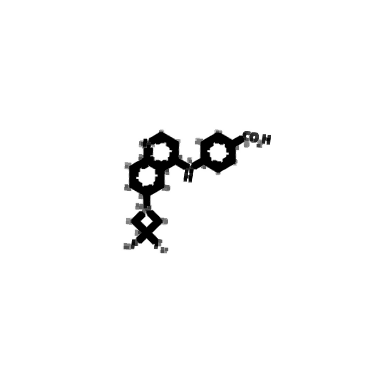 O=C(O)c1ccc(Nc2ccnc3ccc(N4CC(F)(F)C4)cc23)cc1